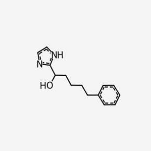 OC(CCCCc1ccccc1)c1ncc[nH]1